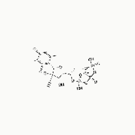 C#CC1(Cl)[C@@H](O)[C@@H]([C@H](C)OP(=O)(O)OP(=O)(O)OP(=O)(O)O)O[C@H]1n1c(C)cc(=O)[nH]c1=O